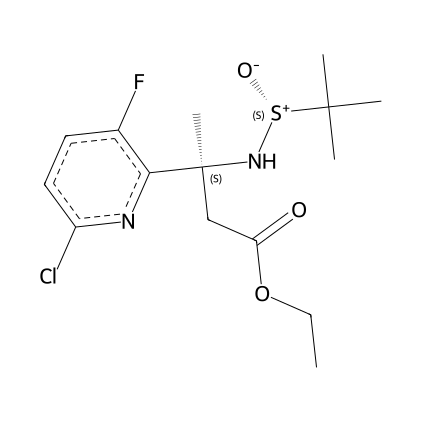 CCOC(=O)C[C@](C)(N[S@+]([O-])C(C)(C)C)c1nc(Cl)ccc1F